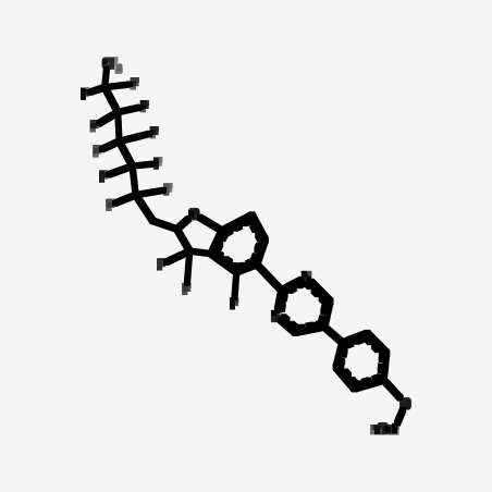 CCCCCCCCOc1ccc(-c2cnc(-c3ccc4c(c3F)C(F)(F)C(CC(F)(F)C(F)(F)C(F)(F)C(F)(F)C(F)(F)C(F)(F)F)O4)nc2)cc1